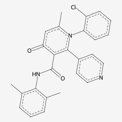 Cc1cccc(C)c1NC(=O)c1c(-c2ccncc2)n(-c2ccccc2Cl)c(C)cc1=O